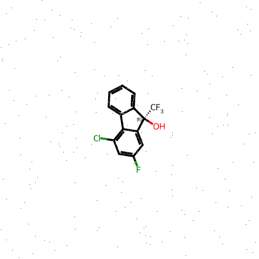 O[C@]1(C(F)(F)F)c2ccccc2-c2c(Cl)cc(F)cc21